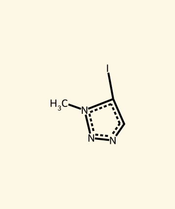 Cn1nncc1I